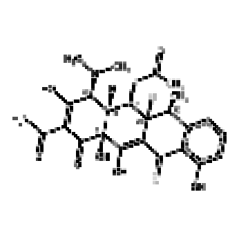 CC(=O)O[C@H]1[C@H]2C(=C(O)[C@]3(O)C(=O)C(C(N)=O)=C(O)[C@@H](N(C)C)[C@H]13)C(=O)c1c(O)cccc1[C@@H]2C